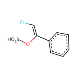 O=S(=O)(O)OC(=CF)c1ccccc1